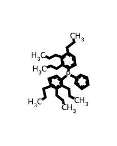 CCCc1ccc(P(c2ccccc2)c2ccc(CCC)c(CCC)c2CCC)c(CCC)c1CCC